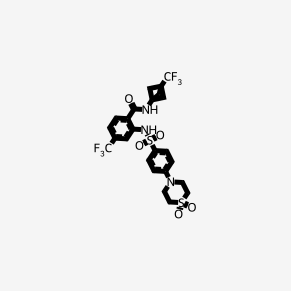 O=C(NC12CC(C(F)(F)F)(C1)C2)c1ccc(C(F)(F)F)cc1NS(=O)(=O)c1ccc(N2CCS(=O)(=O)CC2)cc1